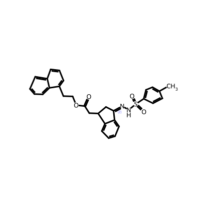 Cc1ccc(S(=O)(=O)N/N=C2/CC(CC(=O)OCCc3cccc4ccccc34)c3ccccc32)cc1